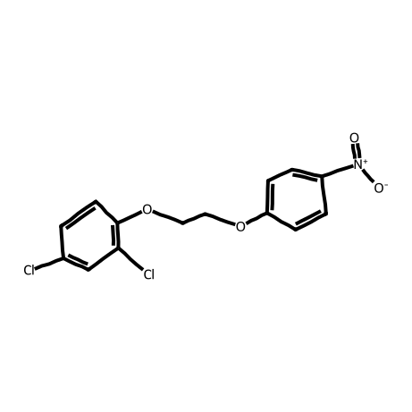 O=[N+]([O-])c1ccc(OCCOc2ccc(Cl)cc2Cl)cc1